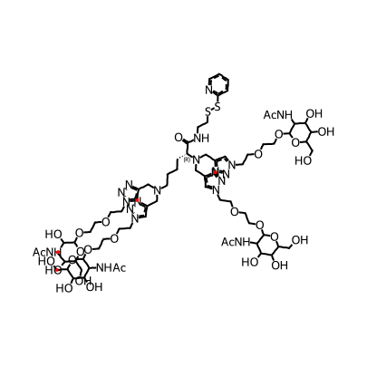 CC(=O)NC(O)C(OCCOCCn1cc(CN(CCCC[C@H](C(=O)NCCSSc2ccccn2)N(Cc2cn(CCOCCOC3OC(CO)C(O)C(O)C3NC(C)=O)nn2)Cc2cn(CCOCCOC3OC(CO)C(O)C(O)C3NC(C)=O)nn2)Cc2cn(CCOCCOC3OC(CO)C(O)C(O)C3NC(C)=O)nn2)nn1)OC(CO)C(C)O